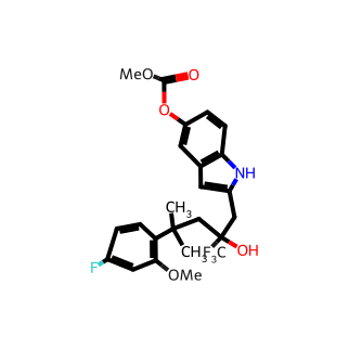 COC(=O)Oc1ccc2[nH]c(CC(O)(CC(C)(C)c3ccc(F)cc3OC)C(F)(F)F)cc2c1